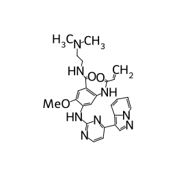 C=CC(=O)Nc1cc(Nc2nccc(-c3cnn4ccccc34)n2)c(OC)cc1C(=O)NCCN(C)C